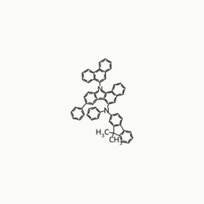 CC1(C)c2ccccc2-c2ccc(N(c3ccccc3)c3cc4ccccc4c4c3c3cc(-c5ccccc5)ccc3n4-c3cc4ccccc4c4ccccc34)cc21